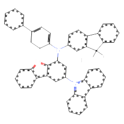 CC1(C)c2ccccc2-c2ccc(N(C3=CC=C(c4ccccc4)CC3)c3cc(-n4c5ccccc5c5ccccc54)cc4c3oc3ccccc34)cc21